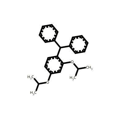 CC(C)Oc1ccc(C(c2ccccc2)c2ccccc2)c(OC(C)C)c1